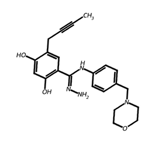 CC#CCc1cc(/C(=N/N)Nc2ccc(CN3CCOCC3)cc2)c(O)cc1O